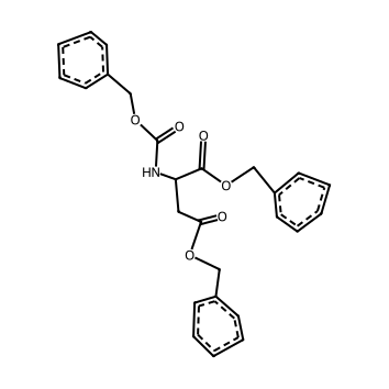 O=C(CC(NC(=O)OCc1ccccc1)C(=O)OCc1ccccc1)OCc1ccccc1